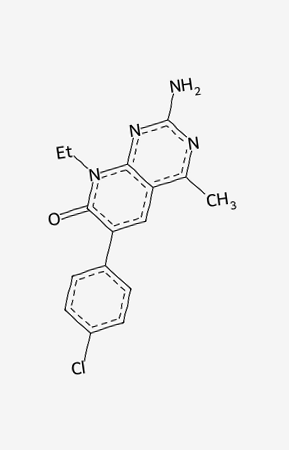 CCn1c(=O)c(-c2ccc(Cl)cc2)cc2c(C)nc(N)nc21